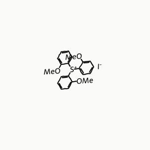 COc1ccccc1[S+](c1ccccc1OC)c1ccccc1OC.[I-]